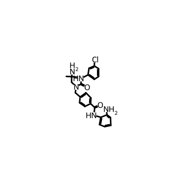 CC(C)(N)CN(Cc1ccc(C(=O)Nc2ccccc2N)cc1)C(=O)Nc1cccc(Cl)c1